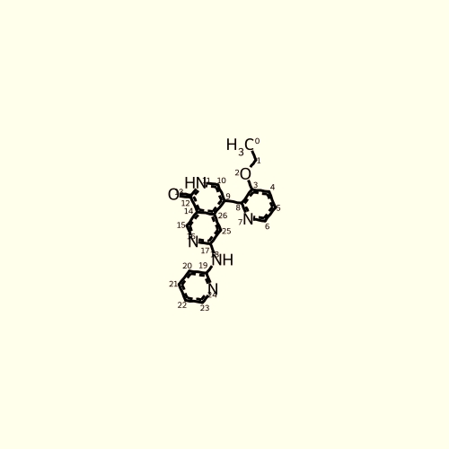 CCOc1cccnc1-c1c[nH]c(=O)c2cnc(Nc3ccccn3)cc12